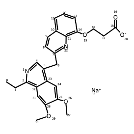 CCc1ncc(Cc2ccc3cccc(OCCC(=O)[O-])c3n2)c2cc(OC)c(OC)cc12.[Na+]